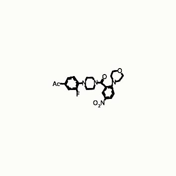 CC(=O)c1ccc(N2CCN(C(=O)c3cc([N+](=O)[O-])ccc3N3CCOCC3)CC2)c(F)c1